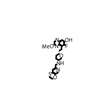 COc1cnc2cc(O)c(F)c(CC[C@H]3CC[C@@H](NCc4cc5c(cn4)OCCS5)CO3)c2n1